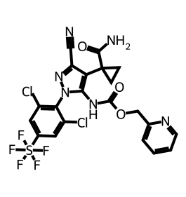 N#Cc1nn(-c2c(Cl)cc(S(F)(F)(F)(F)F)cc2Cl)c(NC(=O)OCc2ccccn2)c1C1(C(N)=O)CC1